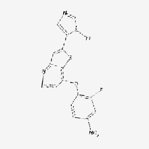 CCn1cncc1-c1cc2nccc(Oc3ccc([N+](=O)[O-])cc3F)c2s1